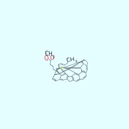 CCc1ccc(C2(CCCC(=O)OC)C34C=Cc5cc6c7c8c5C32c2c3c5c(cc9ccc%10cc(c7c7c%10c9c5c7c28)C6)CC3=C4)s1